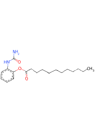 CCCCCCCCCCCC(=O)Oc1ccccc1NC(N)=O